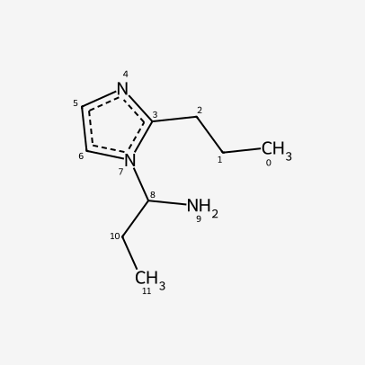 CCCc1nccn1C(N)CC